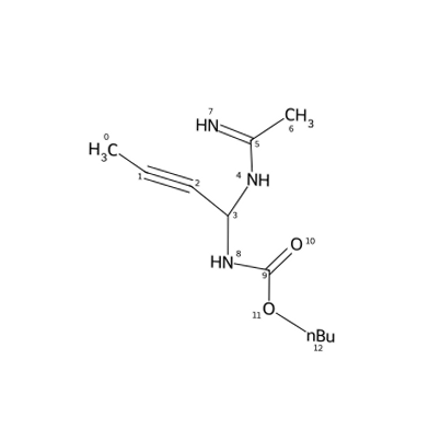 CC#CC(NC(C)=N)NC(=O)OCCCC